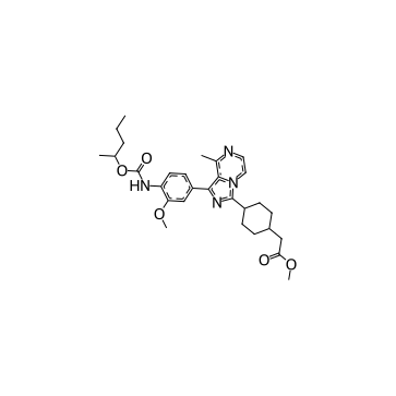 CCCC(C)OC(=O)Nc1ccc(-c2nc(C3CCC(CC(=O)OC)CC3)n3ccnc(C)c23)cc1OC